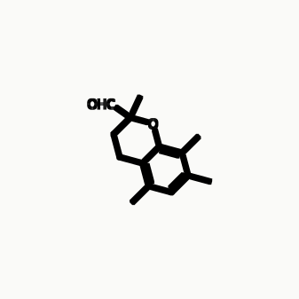 Cc1cc(C)c2c(c1C)OC(C)(C=O)CC2